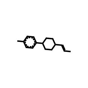 C/C=C/C1CCC(c2ccc(C)cc2)CC1